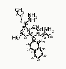 CCCC[C@H](NN)C(=O)N(C)[C@H](CC(=O)O)C(=O)N(C)[C@@H](Cc1cccc2ccccc12)C(N)=O